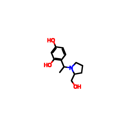 CC(c1ccc(O)cc1O)N1CCCC1CO